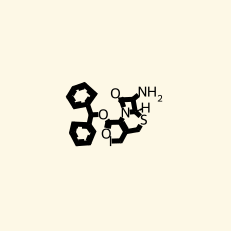 NC1C(=O)N2C(C(=O)OC(c3ccccc3)c3ccccc3)=C(CI)CS[C@H]12